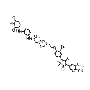 C[C@@H]1CN(CCOc2ccc(N3C(=S)N(c4cnc(C#N)c(C(F)(F)F)c4)C(=O)C3(C)C)cc2C2CC2)C[C@H](C)N1CC(=O)Nc1cccc(NC2CCC(=O)NC2=O)c1